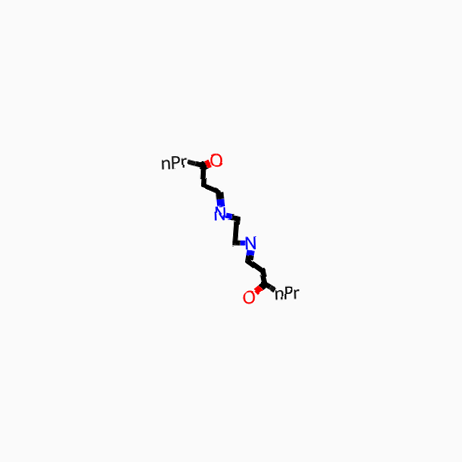 CCCC(=O)CC=NCCN=CCC(=O)CCC